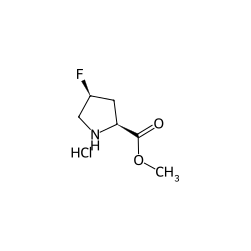 COC(=O)[C@@H]1C[C@H](F)CN1.Cl